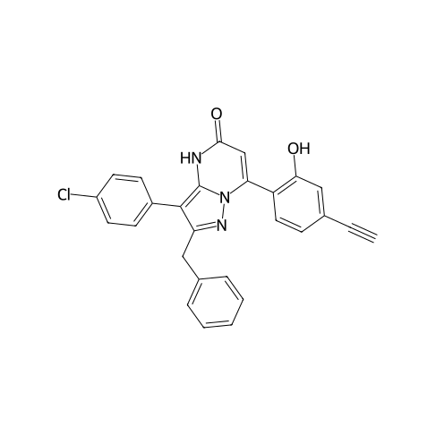 C#Cc1ccc(-c2cc(=O)[nH]c3c(-c4ccc(Cl)cc4)c(Cc4ccccc4)nn23)c(O)c1